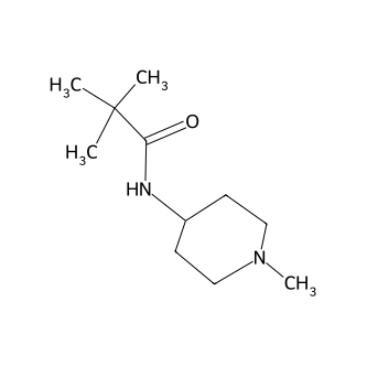 CN1CCC(NC(=O)C(C)(C)C)CC1